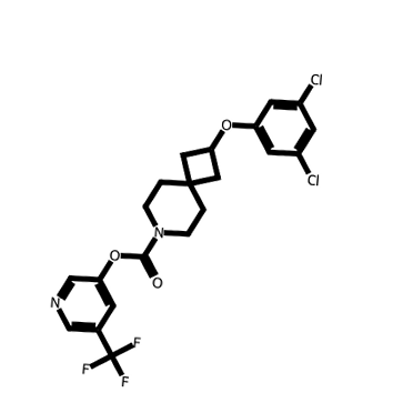 O=C(Oc1cncc(C(F)(F)F)c1)N1CCC2(CC1)CC(Oc1cc(Cl)cc(Cl)c1)C2